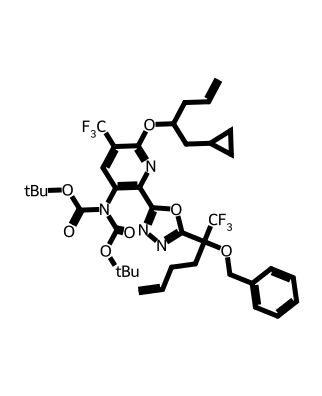 C=CCCC(OCc1ccccc1)(c1nnc(-c2nc(OC(CC=C)CC3CC3)c(C(F)(F)F)cc2N(C(=O)OC(C)(C)C)C(=O)OC(C)(C)C)o1)C(F)(F)F